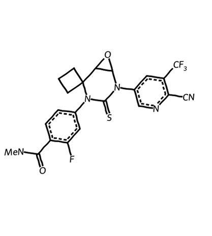 CNC(=O)c1ccc(N2C(=S)N(c3cnc(C#N)c(C(F)(F)F)c3)C3OC3C23CCC3)cc1F